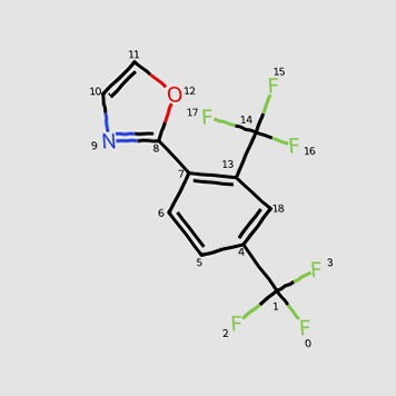 FC(F)(F)c1ccc(-c2n[c]co2)c(C(F)(F)F)c1